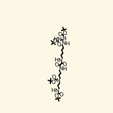 CC(C)(C)OC(=O)/N=C(/NCCCCCCNC(=O)C(=O)NCCCCN(CCCNC(=O)OC(C)(C)C)C(=O)OC(C)(C)C)NC(=O)OC(C)(C)C